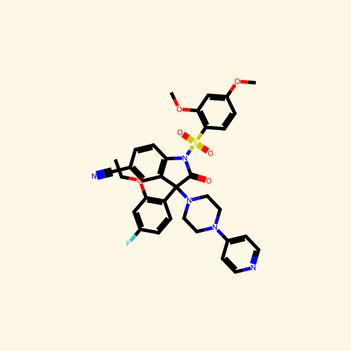 CCOc1cc(F)ccc1C1(N2CCN(c3ccncc3)CC2)C(=O)N(S(=O)(=O)c2ccc(OC)cc2OC)c2ccc(C#N)cc21